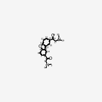 CN(C)CC(=O)c1ccc2oc3ccc(C(=O)CN(C)C)cc3c2c1